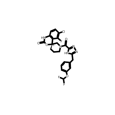 O=C1Nc2ccc(Cl)c(F)c2[C@@]2(CCCN(C(=O)c3nnc(Cc4cccc(OC(F)F)c4)[nH]3)C2)O1